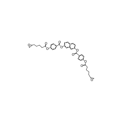 O=C(CCCCC1CO1)Oc1ccc(C(=O)Oc2ccc3ccc(OC(=O)c4ccc(OC(=O)CCCCC5CO5)cc4)cc3c2)cc1